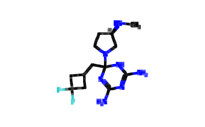 CN[C@@H]1CCN(C2(CC3CC(F)(F)C3)N=C(N)N=C(N)N2)C1